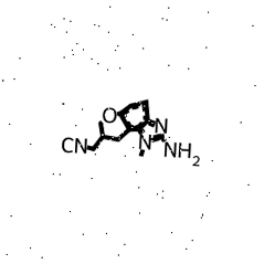 [C-]#[N+]CC1COc2ccc3nc(N)n(C)c3c2C1